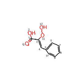 O=C(O)C(=Cc1ccccc1)OO